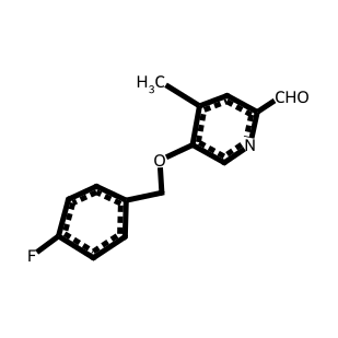 Cc1cc(C=O)ncc1OCc1ccc(F)cc1